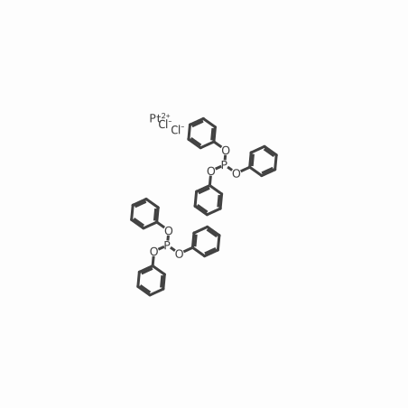 [Cl-].[Cl-].[Pt+2].c1ccc(OP(Oc2ccccc2)Oc2ccccc2)cc1.c1ccc(OP(Oc2ccccc2)Oc2ccccc2)cc1